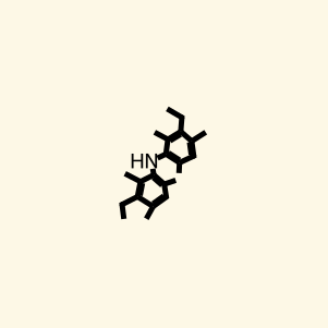 CCc1c(C)cc(C)c(Nc2c(C)cc(C)c(CC)c2C)c1C